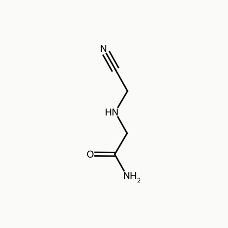 N#CCNCC(N)=O